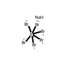 [Br][Ir]([Br])([Br])([Br])([Br])[Br].[NaH]